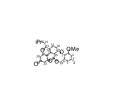 COc1cc(C)cc2c1Oc1ccc(C(=O)CC(C)C)c(-c3ccc(Cl)cc3)c1C(=O)OC2